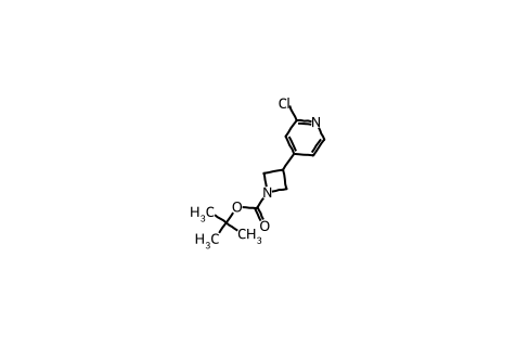 CC(C)(C)OC(=O)N1CC(c2ccnc(Cl)c2)C1